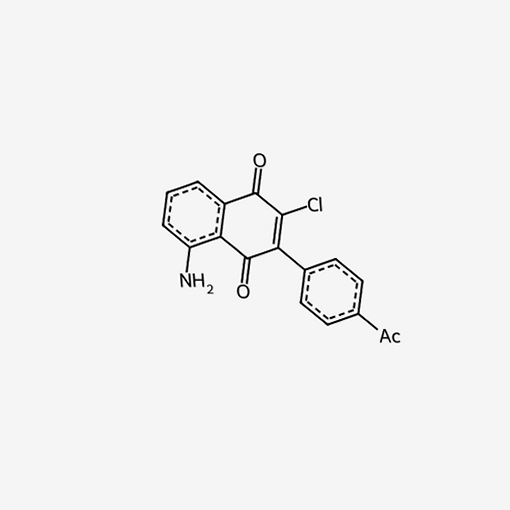 CC(=O)c1ccc(C2=C(Cl)C(=O)c3cccc(N)c3C2=O)cc1